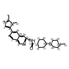 Cc1ncc(-c2ccc3cnc(NC(=O)[C@H]4CC[C@H](N5CCN(C)CC5)CC4)cc3c2)n1C